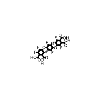 O=C(O)c1c(F)c(F)c(Oc2c(F)c(F)c(Oc3c(F)c(F)c(C(=O)O)c(C(=O)O)c3F)c(Cl)c2F)c(F)c1C(=O)O